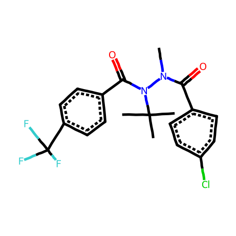 CN(C(=O)c1ccc(Cl)cc1)N(C(=O)c1ccc(C(F)(F)F)cc1)C(C)(C)C